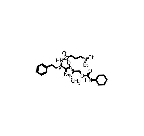 CCN(CC)CCCS(=O)(=O)N[C@H](CCc1ccccc1)c1nc(COC(=O)NC2CCCCC2)n(C)n1